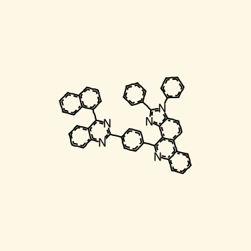 c1ccc(-c2nc3c4c(-c5ccc(-c6nc(-c7cccc8ccccc78)c7ccccc7n6)cc5)nc5ccccc5c4ccc3n2-c2ccccc2)cc1